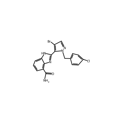 NC(=O)c1cccc2[nH]c(-c3c(Br)cnn3Cc3ccc(Cl)cc3)nc12